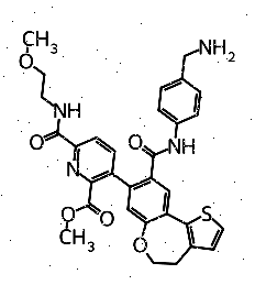 COCCNC(=O)c1ccc(-c2cc3c(cc2C(=O)Nc2ccc(CN)cc2)-c2sccc2CCO3)c(C(=O)OC)n1